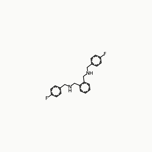 Fc1ccc(CNCc2ccccc2CNCc2ccc(F)cc2)cc1